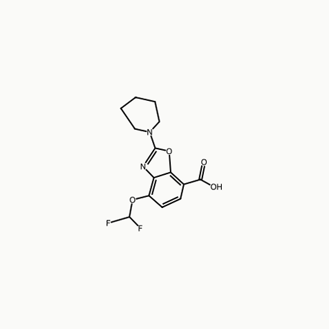 O=C(O)c1ccc(OC(F)F)c2nc(N3CCCCC3)oc12